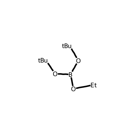 CCOB(OC(C)(C)C)OC(C)(C)C